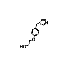 OCCOc1ccc(Cn2ccnc2)cc1